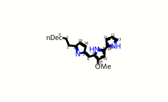 CCCCCCCCCCCCC1=N/C(=C/c2[nH]c(-c3ccc[nH]3)cc2OC)C=C1